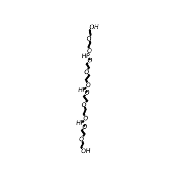 OCCOCCOPOCCOCCOPOCCOCCOPOCCOCCO